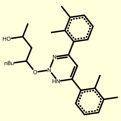 CCCCC(CC(C)O)ON1N=C(c2cccc(C)c2C)C=C(c2cccc(C)c2C)N1